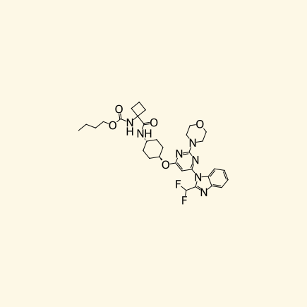 CCCCOC(=O)NC1(C(=O)N[C@H]2CC[C@H](Oc3cc(-n4c(C(F)F)nc5ccccc54)nc(N4CCOCC4)n3)CC2)CCC1